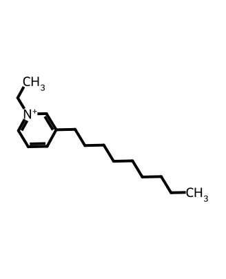 CCCCCCCCCc1ccc[n+](CC)c1